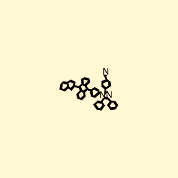 N#Cc1ccc(-c2nc(-c3ccccc3)c(-c3ccccc3)n2-c2ccc(-c3c4ccccc4c(-c4ccc5ccccc5c4)c4ccccc34)cc2)cc1